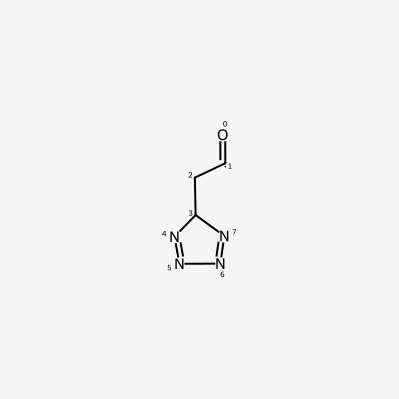 O=[C]CC1N=NN=N1